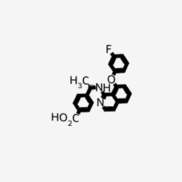 C[C@H](Nc1nccc2cccc(Oc3cccc(F)c3)c12)c1ccc(C(=O)O)cc1